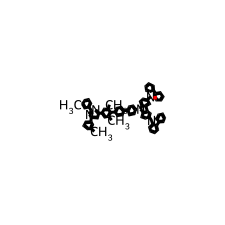 Cc1cccc(-c2cc(-c3cc(C)c(-c4ccc(-c5ccc(-n6c7ccc(-n8c9ccccc9c9ccccc98)cc7c7cc(-n8c9ccccc9c9ccccc98)ccc76)cc5)cc4)c(C)c3)nc(-c3cccc(C)c3)n2)c1